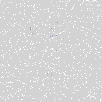 Cc1cccc(C)c1-c1nc2nc(c1C)OC[C@@H](CC1(C(F)(F)F)CC1)C([C@H]1CC3(C[C@H](NC(=O)OC(C)C)C3)C1)c1cccc(c1)S(=O)(=O)N2